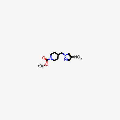 CC(C)(C)OC(=O)N1CCC(Cn2cc([N+](=O)[O-])cn2)CC1